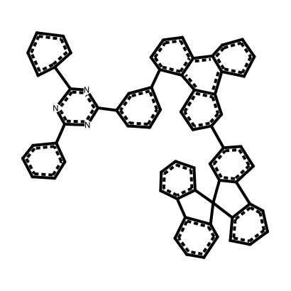 c1ccc(-c2nc(-c3ccccc3)nc(-c3cccc(-c4cccc5c6ccccc6c6cc(-c7ccc8c(c7)C7(c9ccccc9-c9ccccc97)c7ccccc7-8)ccc6c45)c3)n2)cc1